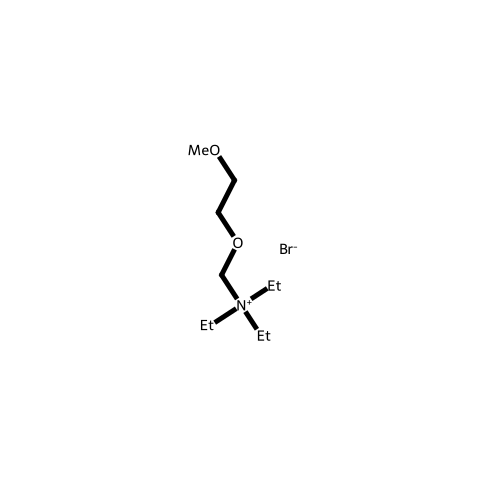 CC[N+](CC)(CC)COCCOC.[Br-]